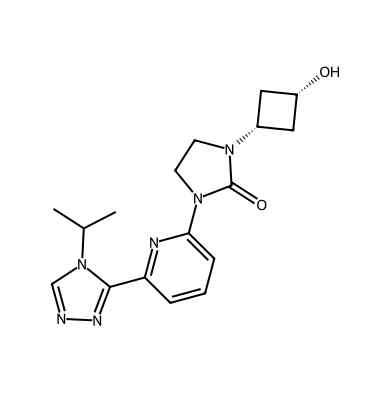 CC(C)n1cnnc1-c1cccc(N2CCN([C@H]3C[C@@H](O)C3)C2=O)n1